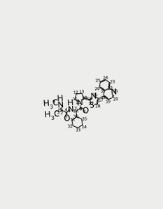 CN[C@@H](C)C(=O)N[C@H](C(=O)N1CCC[C@H]1c1nc(-c2ccnc3ccccc23)cs1)C1CCCCC1